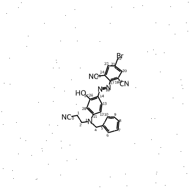 N#CCCN(Cc1ccccc1)c1ccc(N=Nc2c(C#N)cc(Br)cc2C#N)c(O)c1